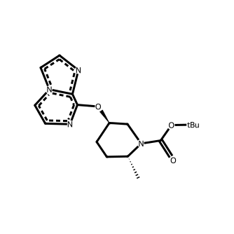 C[C@@H]1CC[C@@H](Oc2nccn3ccnc23)CN1C(=O)OC(C)(C)C